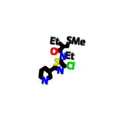 CCC(CSC)C(=O)N(CC)c1sc(-c2cccnc2)nc1Cl